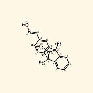 CCC12c3ccccc3C(CC)(c3cc(/C=N/O)ccc31)N2C